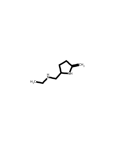 C=C1CCC(CNCC)N1